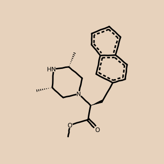 COC(=O)[C@H](Cc1ccc2ccccc2c1)N1C[C@@H](C)N[C@@H](C)C1